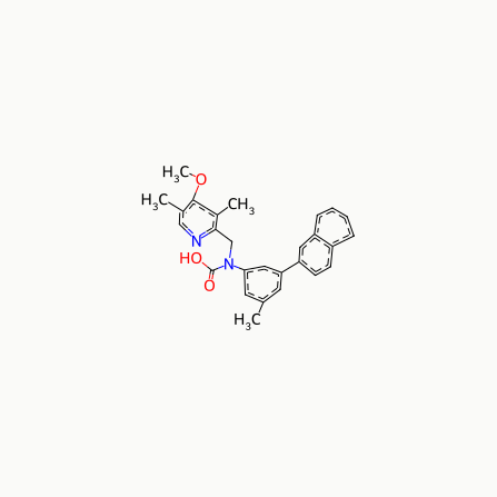 COc1c(C)cnc(CN(C(=O)O)c2cc(C)cc(-c3ccc4ccccc4c3)c2)c1C